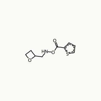 O=C(ONCC1CCO1)c1cccs1